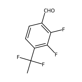 CC(F)(F)c1ccc(C=O)c(F)c1F